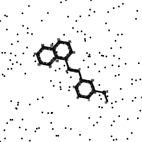 COc1cccc(C=Nc2cccc3ccccc23)c1